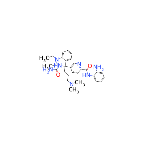 CCN(CC)c1ccccc1C(CCCN(C)C)(NC(N)=O)c1ccc(C(=O)Nc2ccccc2N)nc1